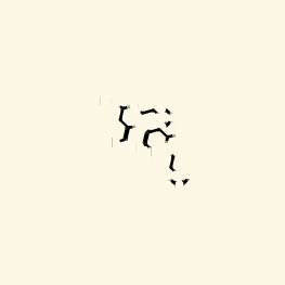 CC(CC(OC(CC(C)OCCS(=O)(=O)F)=C(F)F)=C(F)F)OCCS(=O)(=O)F